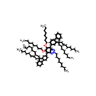 CCCCCCCCOc1c(OCCCCCCCC)c(-c2ccc3c(c2)C(CCCCCCCC)(CCCCCCCC)c2ccccc2-3)c2nn(CCCCCCCC)nc2c1-c1ccc2c(c1)C(CCCCCCCC)(CCCCCCCC)c1ccccc1-2